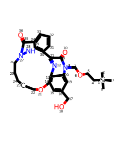 C[Si](C)(C)CCOCn1c(=O)c2nc3c(cc(CO)cc31)OCCCCCn1[nH]c3c-2cccc3c1=O